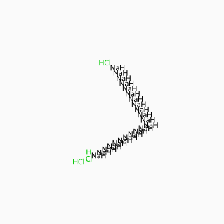 Cl.Cl.Cl.[NaH].[NaH].[NaH].[NaH].[NaH].[NaH].[NaH].[NaH].[NaH].[NaH].[NaH].[NaH].[NaH].[NaH].[NaH].[NaH].[NaH].[NaH].[NaH].[NaH].[NaH].[NaH]